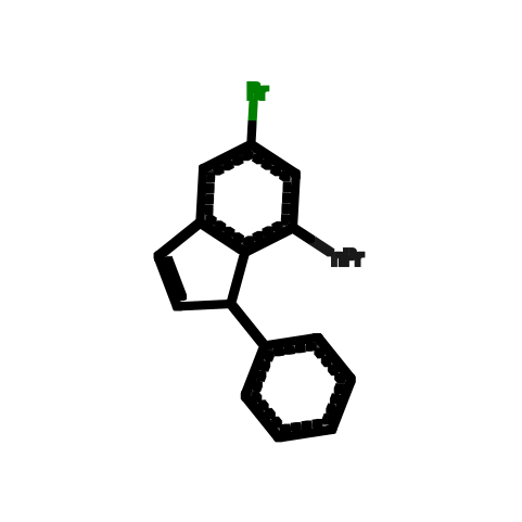 CCCc1cc(Br)cc2c1C(c1ccccc1)C=C2